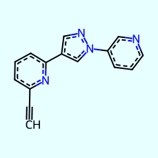 C#Cc1cccc(-c2cnn(-c3cccnc3)c2)n1